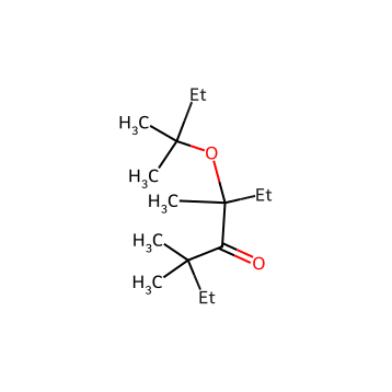 CCC(C)(C)OC(C)(CC)C(=O)C(C)(C)CC